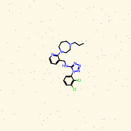 CCCN1CCCN(c2ncccc2CNc2nnnn2-c2cccc(Cl)c2Cl)CC1